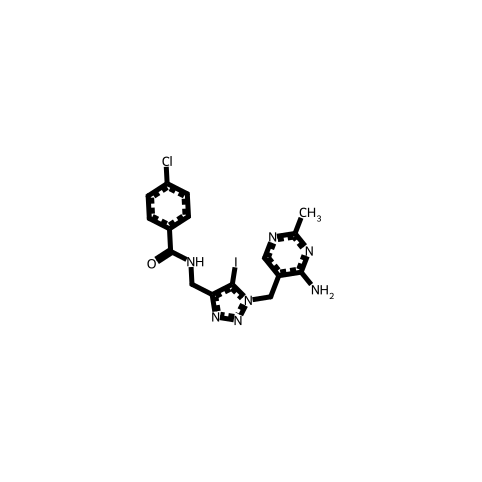 Cc1ncc(Cn2nnc(CNC(=O)c3ccc(Cl)cc3)c2I)c(N)n1